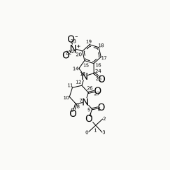 CC(C)(C)OC(=O)N1C(=O)CCC(N2Cc3c(cccc3[N+](=O)[O-])C2=O)C1=O